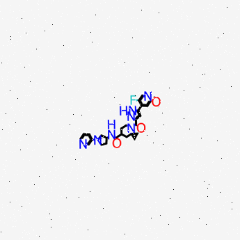 COc1cc(-c2cc(C(=O)N3CCC(C(=O)N[C@H]4CCN(c5cccnc5)C4)CC34CC4)n[nH]2)c(F)cn1